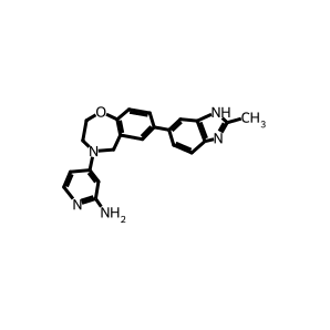 Cc1nc2ccc(-c3ccc4c(c3)CN(c3ccnc(N)c3)CCO4)cc2[nH]1